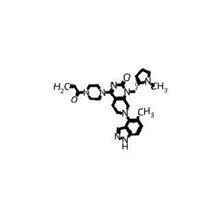 C=CC(=O)N1CCN(c2nc(=O)n(C[C@@H]3CCCN3C)c3c2CCN(c2c(C)ccc4[nH]ncc24)C3)CC1